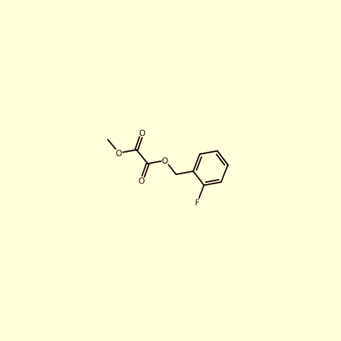 COC(=O)C(=O)OCc1ccccc1F